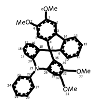 COc1cc2c(cc1OC)C1(c3ccccc3-2)c2ccccc2N(c2ccccc2)c2cc(OC)c(OC)cc21